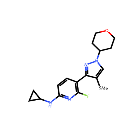 CSc1cn(C2CCOCC2)nc1-c1ccc(NC2CC2)nc1F